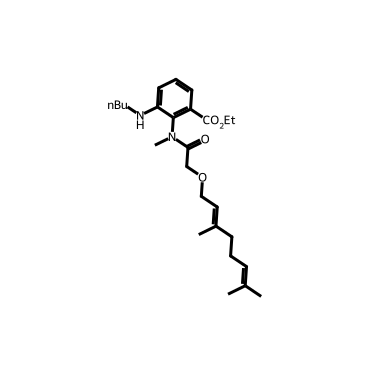 CCCCNc1cccc(C(=O)OCC)c1N(C)C(=O)COC/C=C(\C)CCC=C(C)C